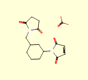 O=C(O)O.O=C1CCC(=O)N1CC1CCCC(N2C(=O)C=CC2=O)C1